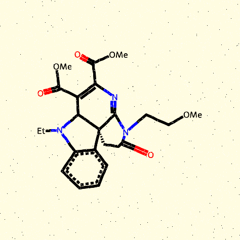 CCN1c2ccccc2[C@]23CCC(=O)N(CCOC)C2=NC(C(=O)OC)=C(C(=O)OC)C13